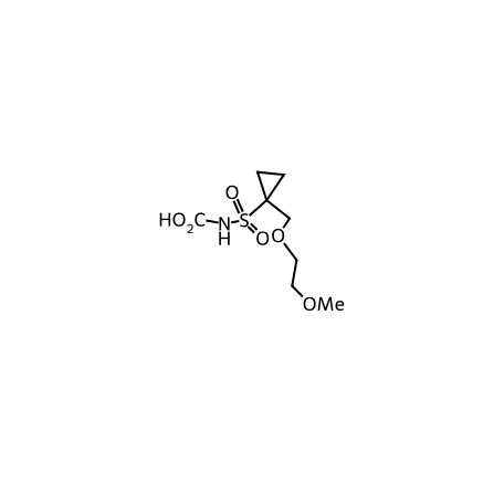 COCCOCC1(S(=O)(=O)NC(=O)O)CC1